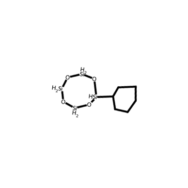 C1CCC([SiH]2O[SiH2]O[SiH2]O[SiH2]O2)CC1